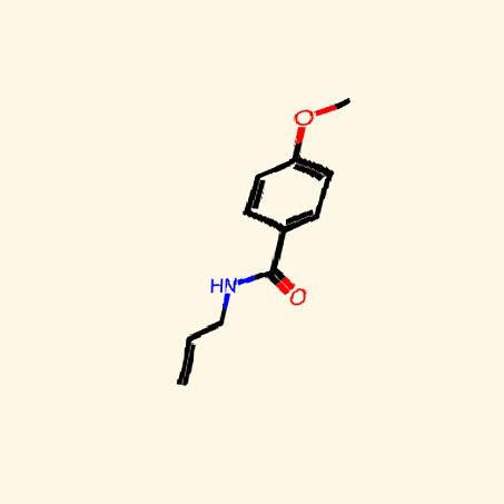 C=CCNC(=O)c1ccc(OC)cc1